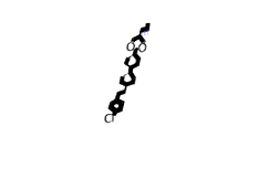 C/C=C/[C@H]1CO[C@H]([C@H]2CC[C@H]([C@H]3CC[C@H](CCc4ccc(Cl)cc4)CC3)CC2)OC1